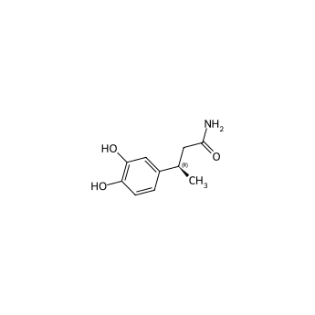 C[C@H](CC(N)=O)c1ccc(O)c(O)c1